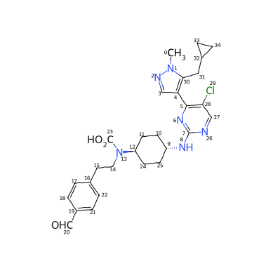 Cn1ncc(-c2nc(N[C@H]3CC[C@H](N(CCc4ccc(C=O)cc4)C(=O)O)CC3)ncc2Cl)c1CC1CC1